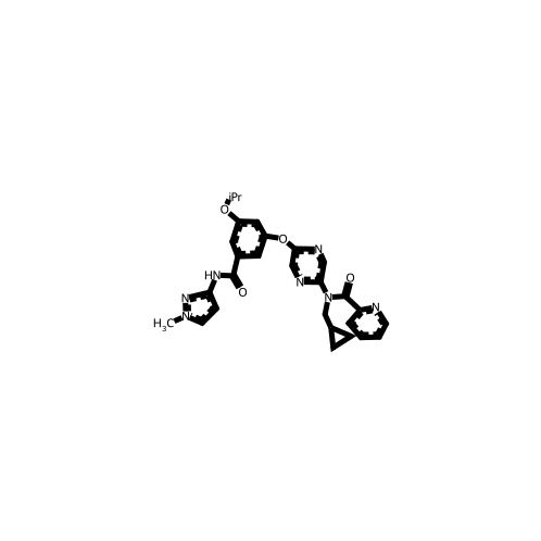 CC(C)Oc1cc(Oc2cnc(N(CC3CC3)C(=O)c3ccccn3)cn2)cc(C(=O)Nc2ccn(C)n2)c1